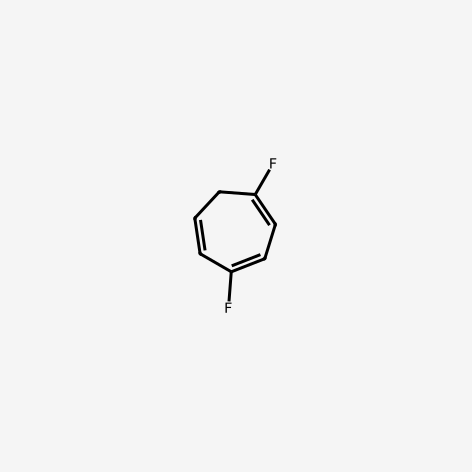 FC1=CC=C(F)CC=C1